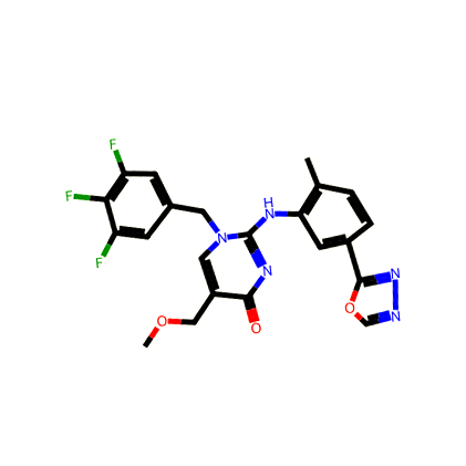 COCc1cn(Cc2cc(F)c(F)c(F)c2)c(Nc2cc(-c3nnco3)ccc2C)nc1=O